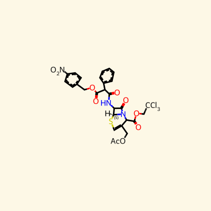 CC(=O)OCC1=CS[C@H]2C(NC(=O)C(C(=O)OCc3ccc([N+](=O)[O-])cc3)c3ccccc3)C(=O)N2C1C(=O)OCC(Cl)(Cl)Cl